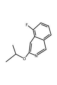 CC(C)Oc1cc2c(F)cccc2cn1